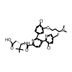 CN(C)CCCOc1cc(-c2nc(C(=O)N[C@@H](CC(=O)O)C(C)(C)C)ccc2-c2ncc(F)cc2Cl)ccc1Cl